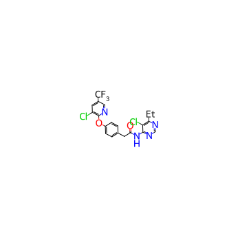 CCc1ncnc(NC(=O)Cc2ccc(Oc3ncc(C(F)(F)F)cc3Cl)cc2)c1Cl